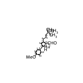 COc1ccc(-c2cc(CCC[N+](C)(C)C)c(C=O)[nH]2)cc1.[I-]